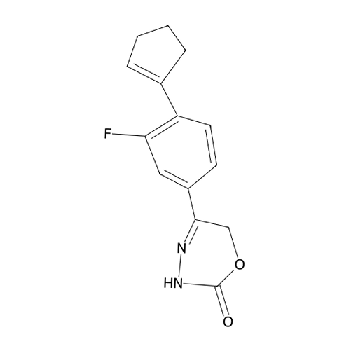 O=C1NN=C(c2ccc(C3=CCCC3)c(F)c2)CO1